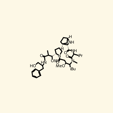 CCC(C)C(C(CC(=O)N1CCC[C@H]1C(OC)C(C)C(=O)NC(CO)Cc1ccccc1)OC)N(C)C(=O)C(NC(=O)[C@H]1N[C@@H]2CC[C@H]1C2)C(C)C